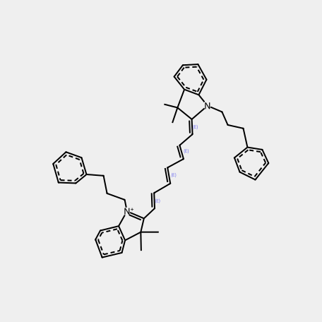 CC1(C)C(/C=C/C=C/C=C/C=C2/N(CCCc3ccccc3)c3ccccc3C2(C)C)=[N+](CCCc2ccccc2)c2ccccc21